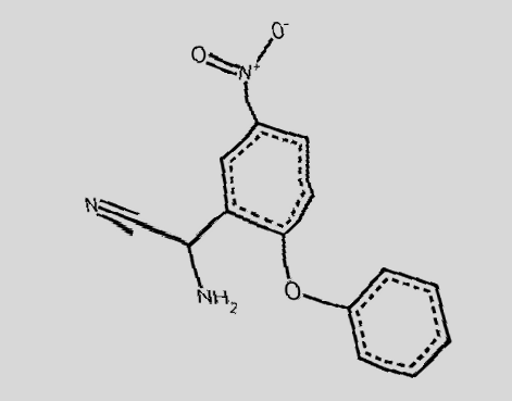 N#CC(N)c1cc([N+](=O)[O-])ccc1Oc1ccccc1